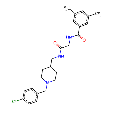 O=C(CNC(=O)c1cc(C(F)(F)F)cc(C(F)(F)F)c1)NCC1CCN(Cc2ccc(Cl)cc2)CC1